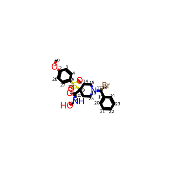 COc1ccc(S(=O)(=O)C2(C(=O)NO)CCN(C(Br)c3ccccc3)CC2)cc1